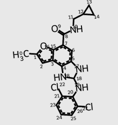 Cc1cc2c3c(cc(C(=O)NCC4CC4)c2o1)NC(Nc1c(Cl)cccc1Cl)N3